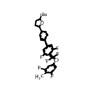 CCCCC1CCC(c2ccc(-c3cc(F)c(C(F)(F)Oc4cc(F)c(C)c(F)c4)c(F)c3)cc2)O1